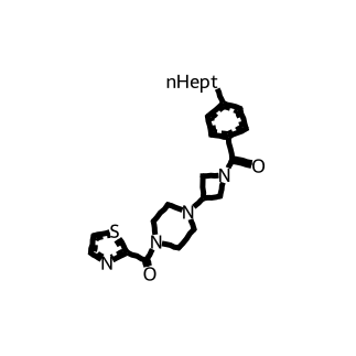 CCCCCCCc1ccc(C(=O)N2CC(N3CCN(C(=O)c4nccs4)CC3)C2)cc1